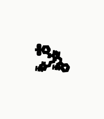 CS(=O)(=O)c1cccc(Sc2nnc(Cc3c[nH]c4ccccc34)n2CCCc2c[nH]cn2)c1